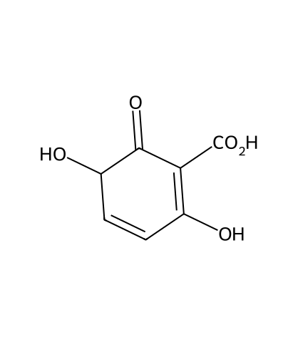 O=C(O)C1=C(O)C=CC(O)C1=O